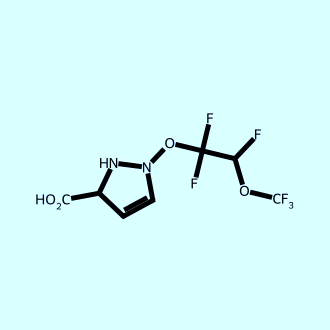 O=C(O)C1C=CN(OC(F)(F)C(F)OC(F)(F)F)N1